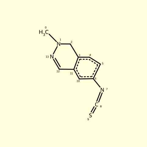 CN1Cc2ccc(N=C=S)cc2C=N1